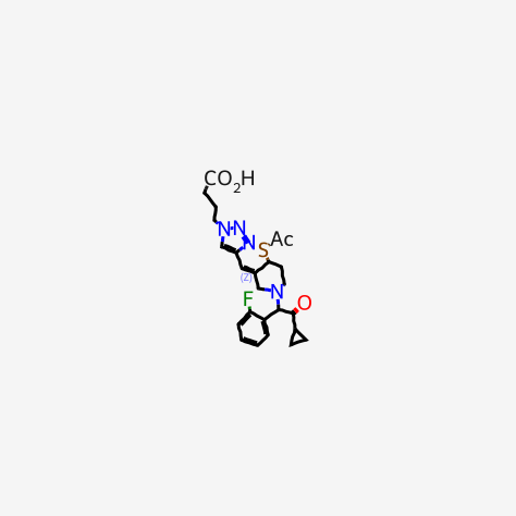 CC(=O)SC1CCN(C(C(=O)C2CC2)c2ccccc2F)C/C1=C/c1cn(CCCC(=O)O)nn1